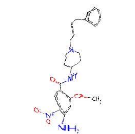 COc1cc(N)c([N+](=O)[O-])cc1C(=O)NC1CCN(C/C=C/c2ccccc2)CC1